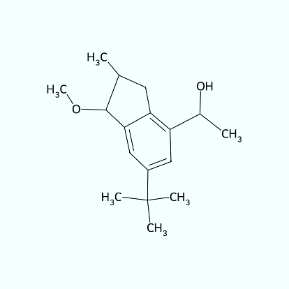 COC1c2cc(C(C)(C)C)cc(C(C)O)c2CC1C